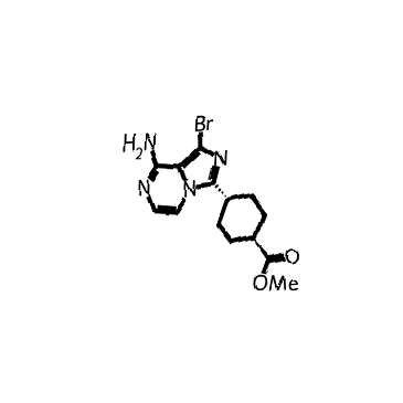 COC(=O)[C@H]1CC[C@H](c2nc(Br)c3c(N)nccn32)CC1